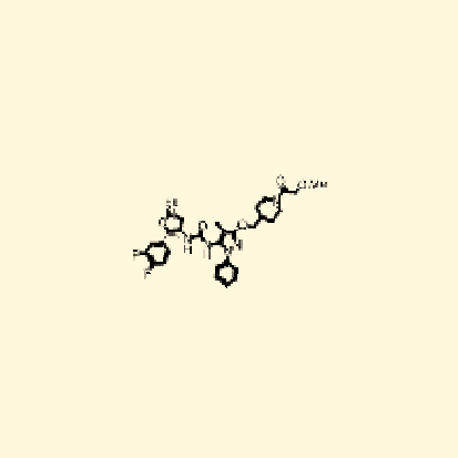 CCN1C[C@@H](NC(=O)Nc2c(C)c(OCC3CCN(C(=O)COC)CC3)nn2-c2ccccc2)[C@H](c2ccc(F)c(F)c2)O1